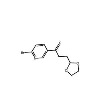 O=C(CCC1OCCO1)c1ccc(Br)nc1